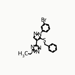 CCn1nnc(-c2cnn(-c3cccc(Br)c3)c2SCc2ccccc2)n1